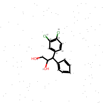 OCC(O)C(c1ccccc1)c1ccc(Cl)c(Cl)c1